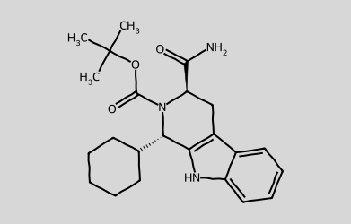 CC(C)(C)OC(=O)N1[C@@H](C(N)=O)Cc2c([nH]c3ccccc23)[C@@H]1C1CCCCC1